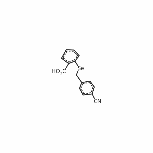 N#Cc1ccc(C[Se]c2ccccc2C(=O)O)cc1